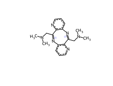 CN(C)C/C1=N/c2cccnc2/C(CN(C)C)=N\c2cccnc21